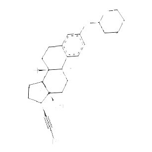 C[C@]12CC[C@@H]3c4ccc(OC5CCCCO5)cc4CC[C@H]3[C@@H]1CC[C@@H]2C#CBr